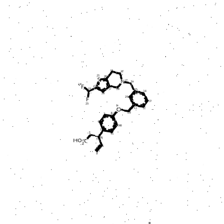 C=C[C@@H](CC(=O)O)c1ccc(OCc2cccc(CN3CCc4sc(C(F)F)cc4C3)c2)cc1